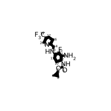 Nc1c(NC(=O)OC2CC2)ccc(NCc2ccc(C(F)(F)F)cn2)c1F